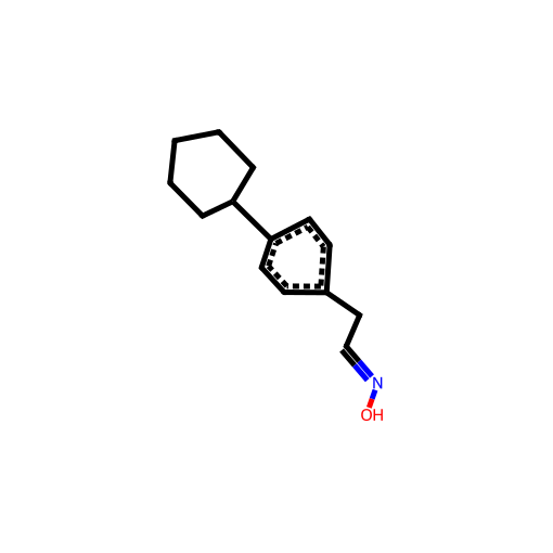 ON=CCc1ccc(C2CCCCC2)cc1